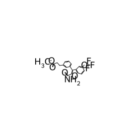 COC(=O)CCc1cccc(-c2c(C(N)=O)oc3ccc(OC(F)(F)F)cc23)c1